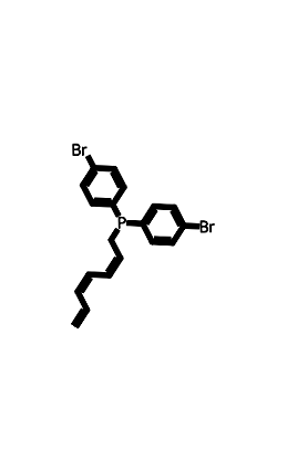 C=C/C=C\C=C/CP(c1ccc(Br)cc1)c1ccc(Br)cc1